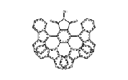 O=C1c2c(c(-n3c4ccccc4c4ccccc43)c(-n3c4ccccc4c4ccccc43)c(-n3c4ccccc4c4ccccc43)c2-n2c3ccccc3c3ccccc32)C(=O)N1O